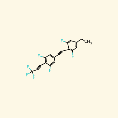 CCc1cc(F)c(C#Cc2cc(F)c(C#CC(F)(F)F)c(F)c2)c(F)c1